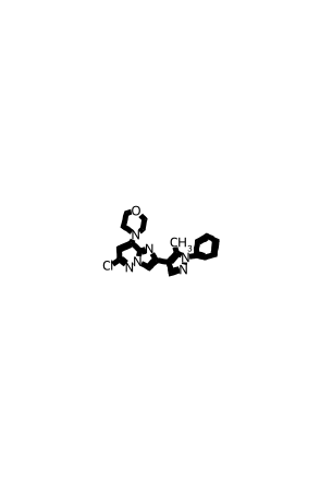 Cc1c(-c2cn3nc(Cl)cc(N4CCOCC4)c3n2)cnn1-c1ccccc1